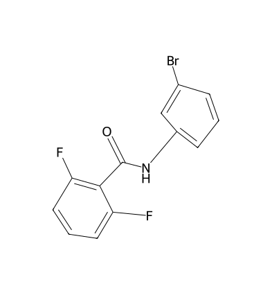 O=C(Nc1cccc(Br)c1)c1c(F)cccc1F